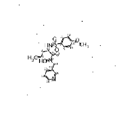 C=CC[C@@H](NS(=O)(=O)c1ccc(OC)cc1)C(=O)N(O)Cc1cccnc1